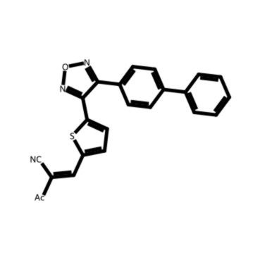 CC(=O)/C(C#N)=C/c1ccc(-c2nonc2-c2ccc(-c3ccccc3)cc2)s1